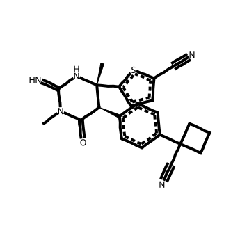 CN1C(=N)N[C@](C)(c2ccc(C#N)s2)[C@@H](c2ccc(C3(C#N)CCC3)cc2)C1=O